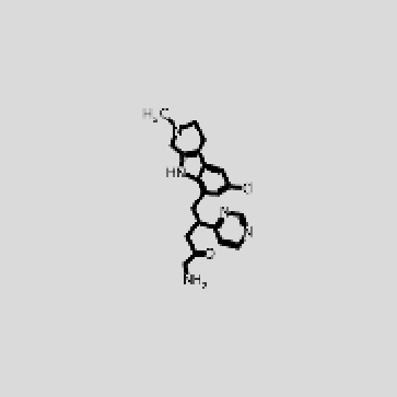 CN1CCc2c([nH]c3c(CC(CC(=O)CN)c4ccncn4)cc(Cl)cc23)C1